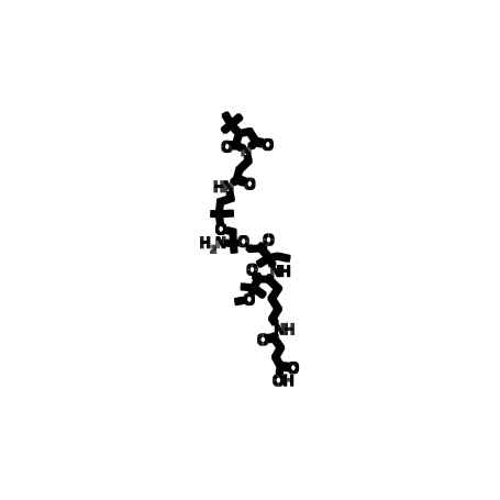 CCC(C)(NC(CCCCNC(=O)CCC(=O)O)C(=O)C(C)(C)OC)C(=O)COC(C)(N)COC(C)(C)CCNC(=O)CCN1C(=O)CC(C(C)(C)C)C1=O